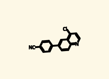 N#Cc1ccc(-c2ccc3nccc(Cl)c3c2)cc1